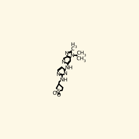 Cc1nc2cnc(Nc3ccnc(NCC4CCS(=O)(=O)C4)n3)cc2n1C(C)C